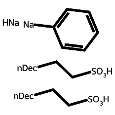 CCCCCCCCCCCCS(=O)(=O)O.CCCCCCCCCCCCS(=O)(=O)O.[NaH].[Na][c]1ccccc1